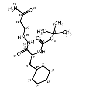 CC(C)(C)OC(=O)N[C@@H](CC1CCCCC1)C(=O)NNCCC(N)=O